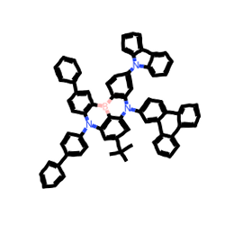 CC(C)(C)c1cc2c3c(c1)N(c1ccc4c5ccccc5c5ccccc5c4c1)c1cc(-n4c5ccccc5c5ccccc54)ccc1B3c1cc(-c3ccccc3)ccc1N2c1ccc(-c2ccccc2)cc1